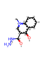 Cn1cc(C(=O)NN)c(=O)c2ccccc21